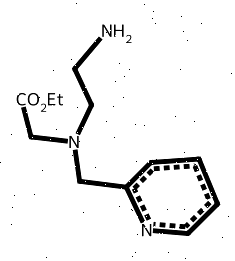 CCOC(=O)CN(CCN)Cc1ccccn1